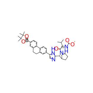 COC(=O)N[C@H](C(=O)N1C2CCC(C2)C1c1ncc(-c2ccc3c(c2)CCc2cc(B4OC(C)(C)C(C)(C)O4)ccc2-3)[nH]1)C(C)C